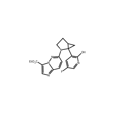 CCOC(=O)c1cnc2ccc(N3CCC4CC43c3cc(F)cnc3O)nn12